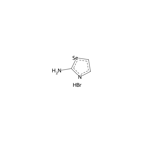 Br.Nc1ncc[se]1